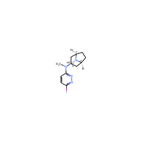 CN(c1ccc(I)nn1)[C@H]1C[C@H]2CC[C@@H](C1)N2C(=O)O